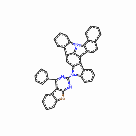 c1ccc(-c2nc(-n3c4ccccc4c4c5c6ccc7ccccc7c6n6c7ccccc7c(cc43)c56)nc3sc4ccccc4c23)cc1